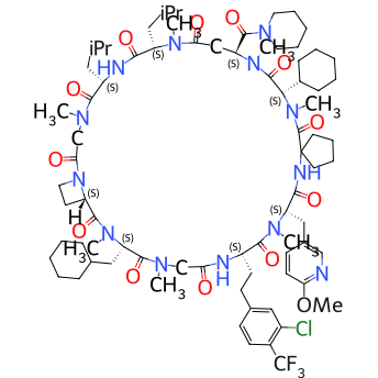 COc1ccc(C[C@H]2C(=O)NC3(CCCC3)C(=O)N(C)[C@@H](C3CCCCC3)C(=O)N(C)[C@H](C(=O)N3CCCCC3)CC(=O)N(C)[C@@H](CC(C)C)C(=O)N[C@@H](CC(C)C)C(=O)N(C)CC(=O)N3CC[C@H]3C(=O)N(C)[C@@H](CC3CCCCC3)C(=O)N(C)CC(=O)N[C@@H](CCc3ccc(C(F)(F)F)c(Cl)c3)C(=O)N2C)cn1